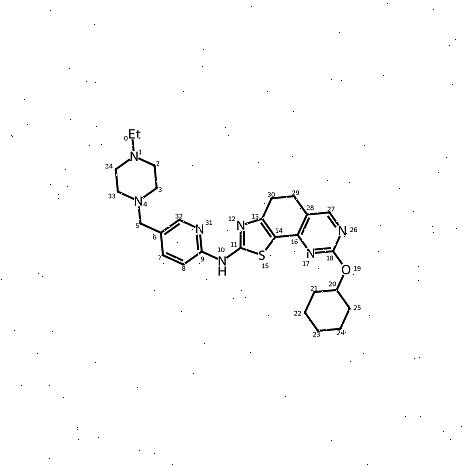 CCN1CCN(Cc2ccc(Nc3nc4c(s3)-c3nc(OC5CCCCC5)ncc3CC4)nc2)CC1